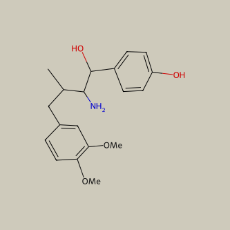 COc1ccc(CC(C)C(N)C(O)c2ccc(O)cc2)cc1OC